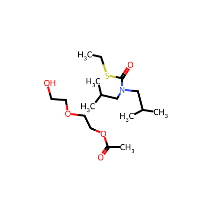 CC(=O)OCCOCCO.CCSC(=O)N(CC(C)C)CC(C)C